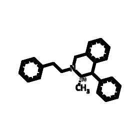 C[C@H]1C(c2ccccc2)c2ccccc2CN1CCc1ccccc1